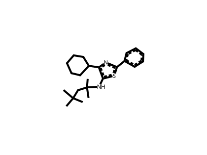 CC(C)(C)CC(C)(C)Nc1sc(-c2ccccc2)nc1C1CCCCC1